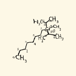 CCCCCCCC[Si](C)(C(C)C)C(C)C